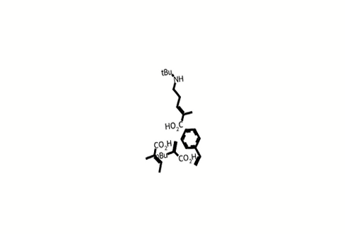 C=C(CCCC)C(=O)O.C=Cc1ccccc1.CC(=CCCNC(C)(C)C)C(=O)O.CC=C(C)C(=O)O